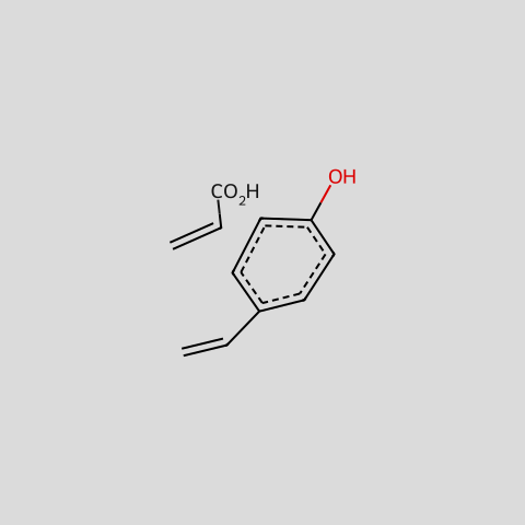 C=CC(=O)O.C=Cc1ccc(O)cc1